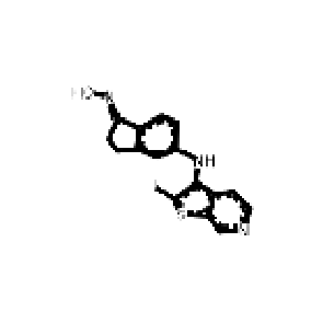 O/N=C1\CCc2cc(Nc3c(I)sc4cnccc34)ccc21